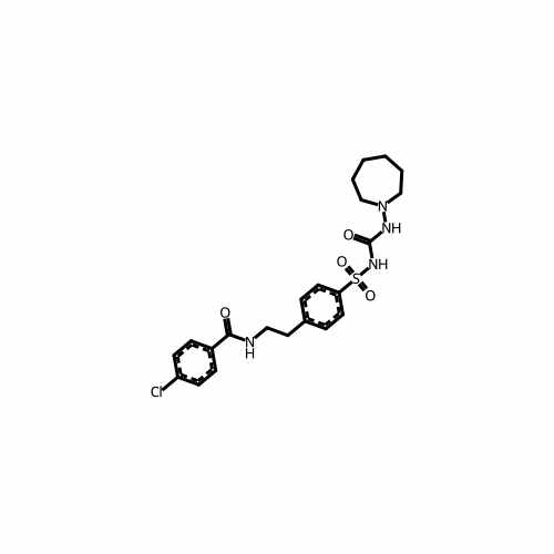 O=C(NN1CCCCCC1)NS(=O)(=O)c1ccc(CCNC(=O)c2ccc(Cl)cc2)cc1